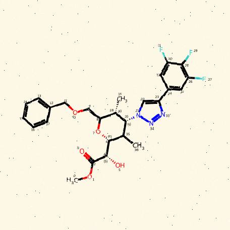 COC(=O)[C@@H](O)[C@@H]1OC(COCc2ccccc2)[C@H](C)[C@H](n2cc(-c3cc(F)c(F)c(F)c3)nn2)C1C